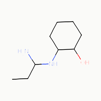 CCC(N)NC1CCCCC1O